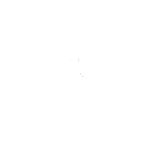 O=C(NC(CC1=CCC(O)(c2ccccc2)C=C1)C(=O)O)OCc1ccccc1